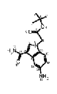 CC(C)(C)OC(=O)Cn1cc(C(N)=O)c2cc(N)ccc21